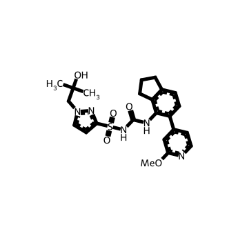 COc1cc(-c2ccc3c(c2NC(=O)NS(=O)(=O)c2ccn(CC(C)(C)O)n2)CCC3)ccn1